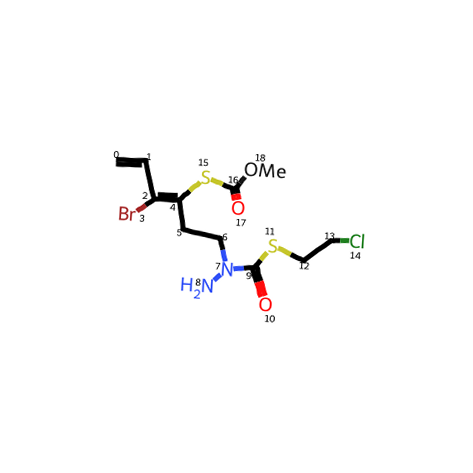 C=C/C(Br)=C(/CCN(N)C(=O)SCCCl)SC(=O)OC